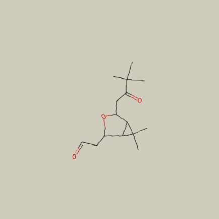 CC(C)(C)C(=O)CC1OC(CC=O)C2C1C2(C)C